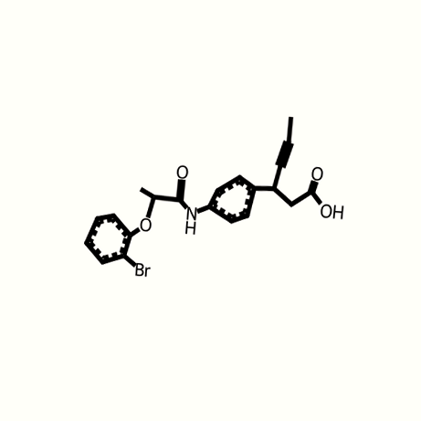 CC#CC(CC(=O)O)c1ccc(NC(=O)C(C)Oc2ccccc2Br)cc1